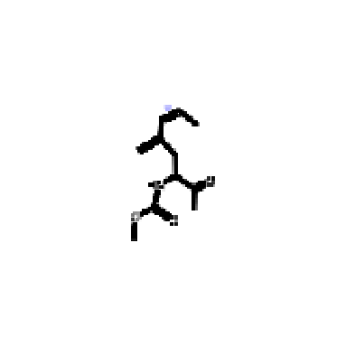 C=C(/C=C\C)CC(NC(=O)OC)C(C)=O